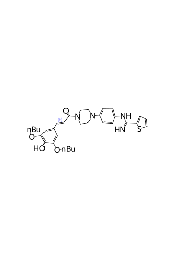 CCCCOc1cc(/C=C/C(=O)N2CCN(c3ccc(NC(=N)c4cccs4)cc3)CC2)cc(OCCCC)c1O